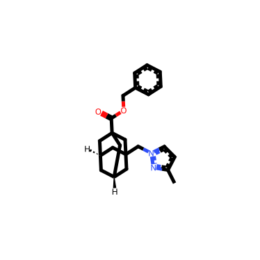 Cc1ccn(CC23C[C@H]4C[C@@H](C2)CC(C(=O)OCc2ccccc2)(C4)C3)n1